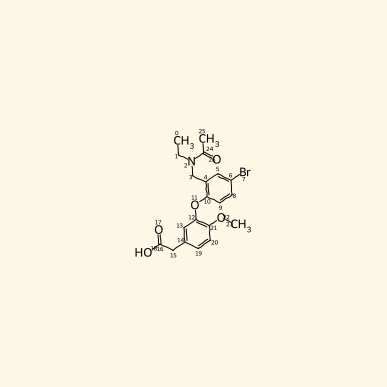 CCN(Cc1cc(Br)ccc1Oc1cc(CC(=O)O)ccc1OC)C(C)=O